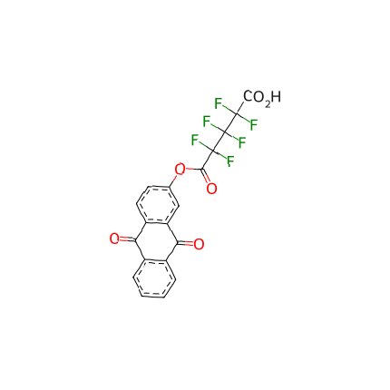 O=C1c2ccccc2C(=O)c2cc(OC(=O)C(F)(F)C(F)(F)C(F)(F)C(=O)O)ccc21